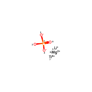 O=P([O-])([O-])[O-].[Li+].[Mg+2].[Ti+4]